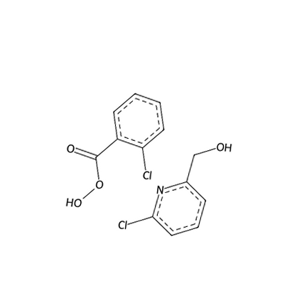 O=C(OO)c1ccccc1Cl.OCc1cccc(Cl)n1